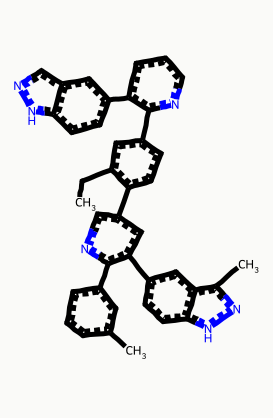 CCc1cc(-c2ncccc2-c2ccc3[nH]ncc3c2)ccc1-c1cnc(-c2cccc(C)c2)c(-c2ccc3[nH]nc(C)c3c2)c1